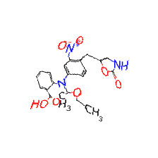 CCOC(C)N(c1ccc(CC2CNC(=O)O2)c([N+](=O)[O-])c1)c1ccccc1C(=O)O